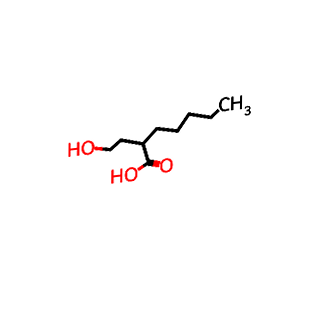 CCCCCC(CCO)C(=O)O